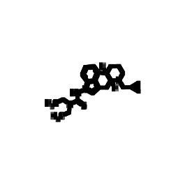 CCN(CC)C(=S)Nn1cc2c3c(cccc31)[C@H]1CCCN(CC3CC3)[C@@H]1C2